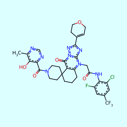 Cc1ncnc(C(=O)N2CCC3(CCCc4c3c(=O)n3nc(C5=CCOCC5)nc3n4CC(=O)Nc3c(F)cc(C(F)(F)F)cc3Cl)CC2)c1O